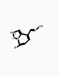 ON=CC1=CC=C(Br)N2SNC=C12